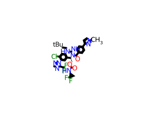 Cn1ccc(-c2ccc(C(=O)N(C(=N)NCCC(C)(C)C)[C@H](COC(=O)N[C@H]3CC3(F)F)c3ccc(Cl)c(-n4ncnc4C(F)F)c3)cc2)n1